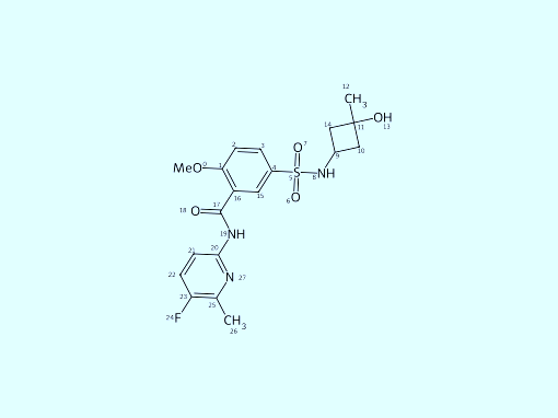 COc1ccc(S(=O)(=O)NC2CC(C)(O)C2)cc1C(=O)Nc1ccc(F)c(C)n1